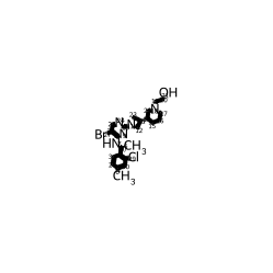 Cc1ccc([C@@H](C)Nc2nc(N3CC([C@H]4CCCN(CCO)C4)C3)ncc2Br)c(Cl)c1